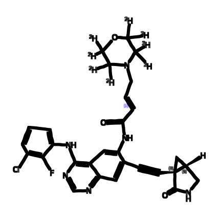 [2H]C1([2H])OC([2H])([2H])C([2H])([2H])N(C/C=C/C(=O)Nc2cc3c(Nc4cccc(Cl)c4F)ncnc3cc2C#C[C@@]23C[C@@H]2CNC3=O)C1([2H])[2H]